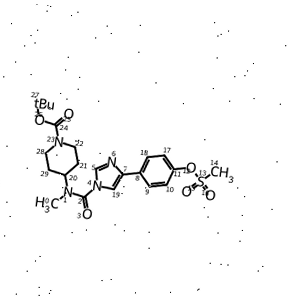 CN(C(=O)n1cnc(-c2ccc(OS(C)(=O)=O)cc2)c1)C1CCN(C(=O)OC(C)(C)C)CC1